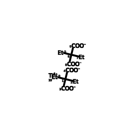 CCC(CC)(C(=O)[O-])C(=O)[O-].CCC(CC)(C(=O)[O-])C(=O)[O-].[Ti+4]